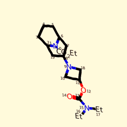 CCOC(=O)N1C2CCCC1CC(N1CC(OC(=O)N(CC)CC)C1)C2